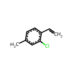 [CH2]c1ccc(C=C)c(Cl)c1